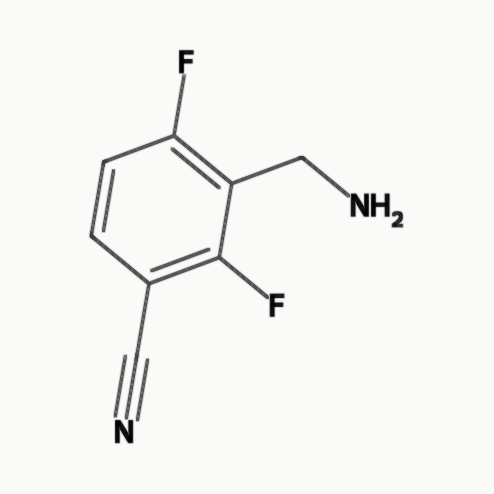 N#Cc1ccc(F)c(CN)c1F